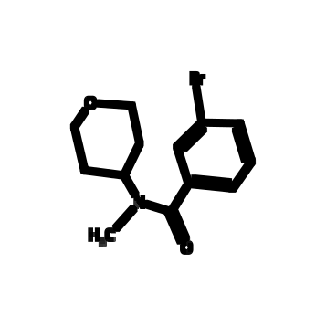 CN(C(=O)c1cccc(Br)c1)C1CCOCC1